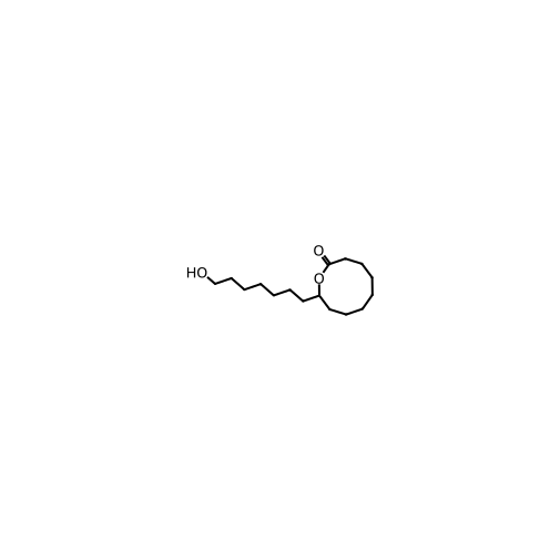 O=C1CCCCCCCC(CCCCCCCO)O1